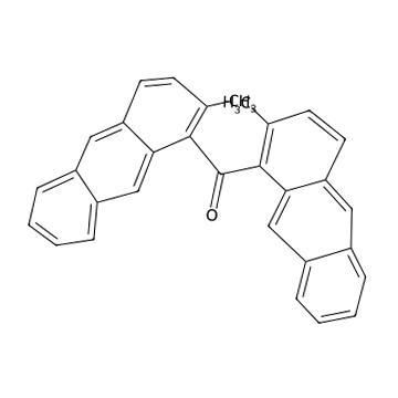 Cc1ccc2cc3ccccc3cc2c1C(=O)c1c(C)ccc2cc3ccccc3cc12